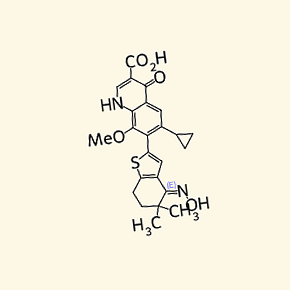 COc1c(-c2cc3c(s2)CCC(C)(C)/C3=N\O)c(C2CC2)cc2c(=O)c(C(=O)O)c[nH]c12